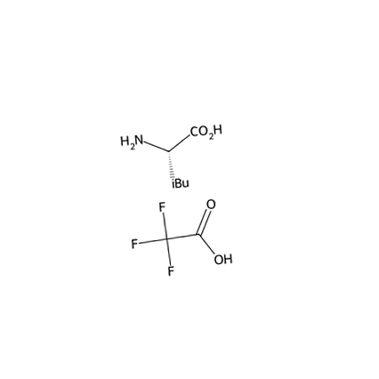 CCC(C)[C@H](N)C(=O)O.O=C(O)C(F)(F)F